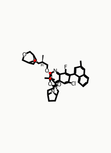 Cc1cc(-c2c(Cl)cc3c(N4CC5CCC(C4)N5C(=O)OC(C)(C)C)nc(OC[C@H](C)CN4C5CCC4COC5)nc3c2F)c2ccccc2c1